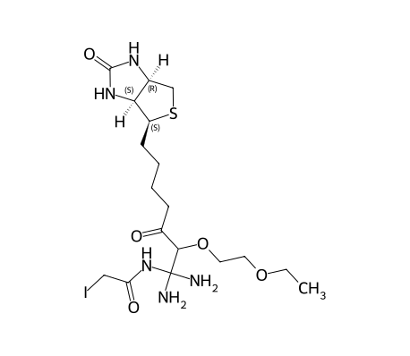 CCOCCOC(C(=O)CCCC[C@@H]1SC[C@@H]2NC(=O)N[C@@H]21)C(N)(N)NC(=O)CI